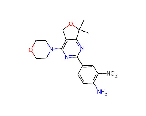 CC1(C)OCc2c(N3CCOCC3)nc(-c3ccc(N)c([N+](=O)[O-])c3)nc21